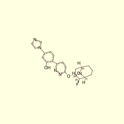 CN1[C@@H]2CCC[C@H]1[C@@H](F)[C@H](Oc1ccc(-c3ccc(-n4ccnc4)cc3O)nn1)C2